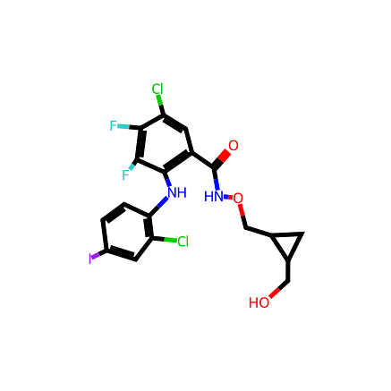 O=C(NOCC1CC1CO)c1cc(Cl)c(F)c(F)c1Nc1ccc(I)cc1Cl